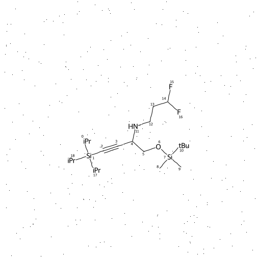 CC(C)[Si](C#CC(CO[Si](C)(C)C(C)(C)C)NCCC(F)F)(C(C)C)C(C)C